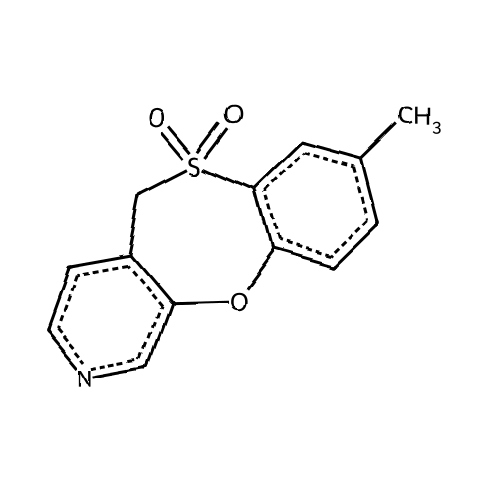 Cc1ccc2c(c1)S(=O)(=O)Cc1ccncc1O2